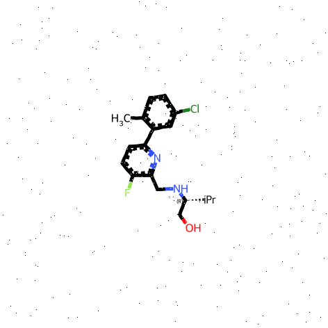 Cc1ccc(Cl)cc1-c1ccc(F)c(CN[C@@H](CO)C(C)C)n1